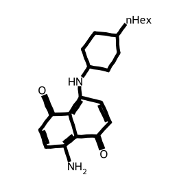 CCCCCCC1CCC(NC2=C3C(=O)C=CC(N)=C3C(=O)C=C2)CC1